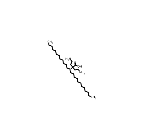 CCCCCCCCCCCCN(CCCCCCCCCCCC)C(CCN)(CCN)C(=O)O